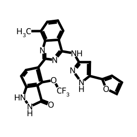 Cc1cccc2c(Nc3cc(-c4ccco4)[nH]n3)nc(-c3ccc4[nH][nH]c(=O)c4c3OC(F)(F)F)nc12